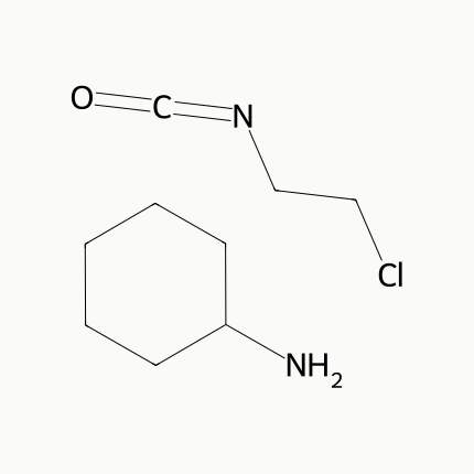 NC1CCCCC1.O=C=NCCCl